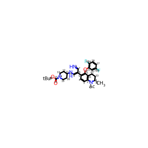 CC(=O)N1c2ccc(/C(C=N)=C/NC3CCN(C(=O)OC(C)(C)C)CC3)c(Oc3cc(F)ccc3F)c2CC[C@@H]1C